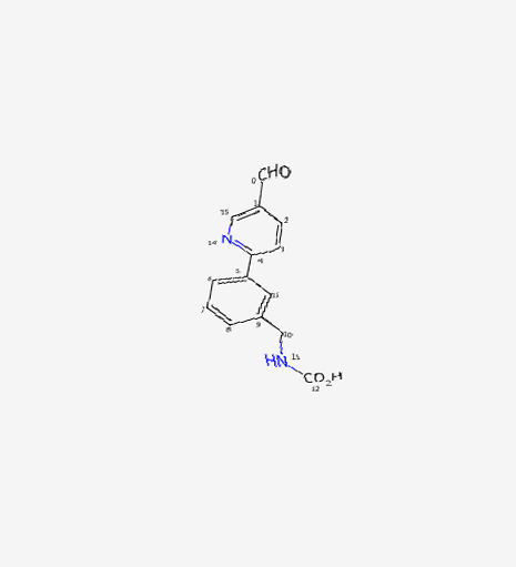 O=Cc1ccc(-c2cccc(CNC(=O)O)c2)nc1